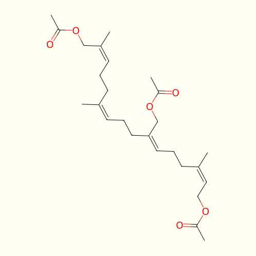 CC(=O)OCC=C(C)CCC=C(CCC=C(C)CCC=C(C)COC(C)=O)COC(C)=O